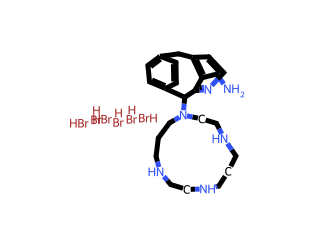 Br.Br.Br.Br.Br.Br.NCc1c2ccnc1C(N1CCCNCCNCCCNCC1)c1ccc(cc1)C2